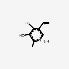 Br.C=Cc1cnc(C)c(O)c1Br